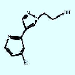 CCc1ccnc(-c2cnn(CCO)c2)c1